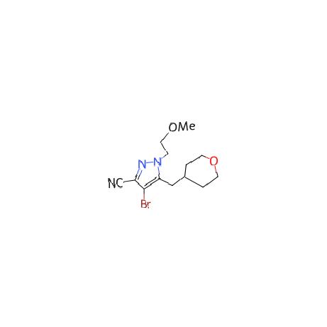 COCCn1nc(C#N)c(Br)c1CC1CCOCC1